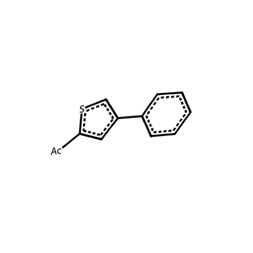 CC(=O)c1cc(-c2ccccc2)cs1